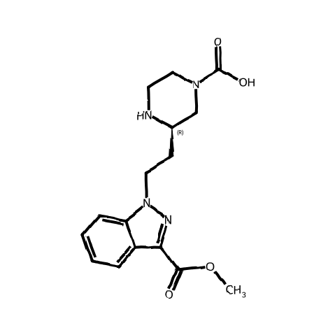 COC(=O)c1nn(CC[C@@H]2CN(C(=O)O)CCN2)c2ccccc12